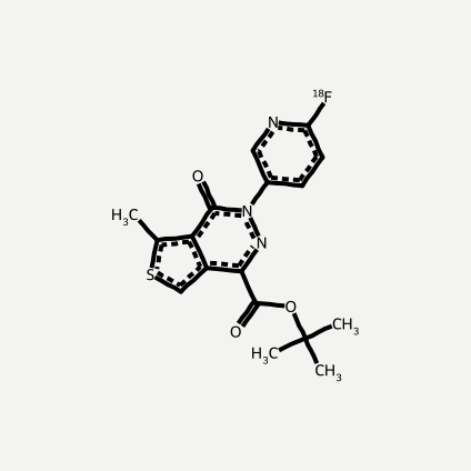 Cc1scc2c(C(=O)OC(C)(C)C)nn(-c3ccc([18F])nc3)c(=O)c12